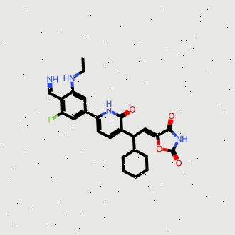 CCNc1cc(-c2ccc(C(/C=C3\OC(=O)NC3=O)C3CCCCC3)c(=O)[nH]2)cc(F)c1C=N